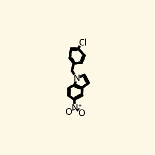 O=[N+]([O-])c1ccc2c(ccn2Cc2ccc(Cl)cc2)c1